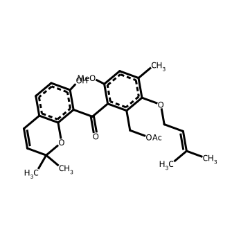 COc1cc(C)c(OCC=C(C)C)c(COC(C)=O)c1C(=O)c1c(O)ccc2c1OC(C)(C)C=C2